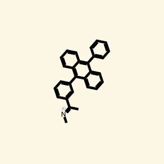 C/N=C(\C)c1cccc(-c2c3ccccc3c(-c3ccccc3)c3ccccc23)c1